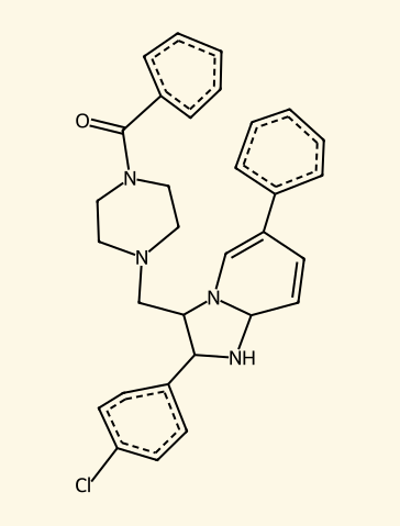 O=C(c1ccccc1)N1CCN(CC2C(c3ccc(Cl)cc3)NC3C=CC(c4ccccc4)=CN32)CC1